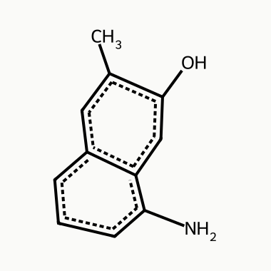 Cc1cc2cccc(N)c2cc1O